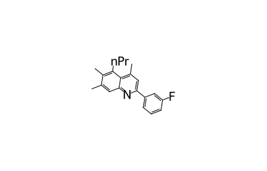 CCCc1c(C)c(C)cc2nc(-c3cccc(F)c3)cc(C)c12